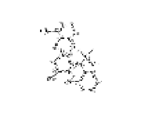 CS(=O)(=O)Nc1ccccc1Nc1nc(Nc2cccc(N)c2F)ncc1Cl